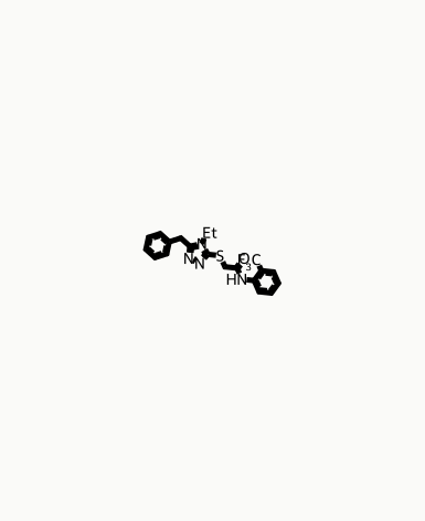 CCn1c(Cc2ccccc2)nnc1SCC(=O)Nc1ccccc1C(F)(F)F